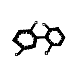 Clc1[c]cc(Cl)c(-c2c(Cl)cccc2Cl)c1